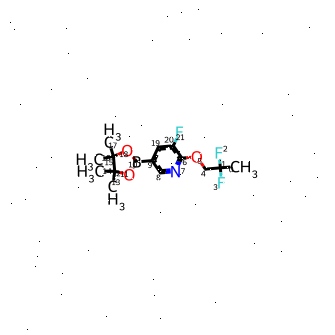 CC(F)(F)COc1ncc(B2OC(C)(C)C(C)(C)O2)cc1F